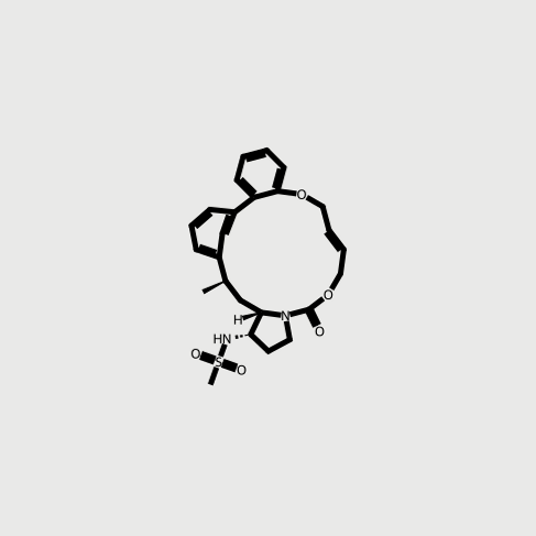 C[C@@H]1C[C@H]2[C@@H](NS(C)(=O)=O)CCN2C(=O)OC/C=C/COc2ccccc2-c2cccc1c2